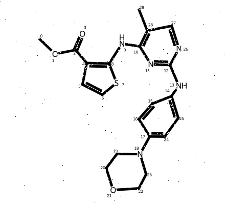 COC(=O)c1ccsc1Nc1nc(Nc2ccc(N3CCOCC3)cc2)ncc1C